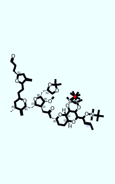 C=C1C[C@H](CCC=O)OC1CCC1C[C@@H](C)C(=C)[C@@H](C[C@@H]2O[C@H](C[C@H]3COC(C)(C)O3)[C@H](OC)[C@H]2CC(=O)C[C@H]2CC[C@@H]3OC(C(/C=C/C)O[Si](C)(C)C(C)(C)C)C(O[Si](C)(C)C(C)(C)C)C(O[Si](C)(C)C(C)(C)C)[C@H]3O2)O1